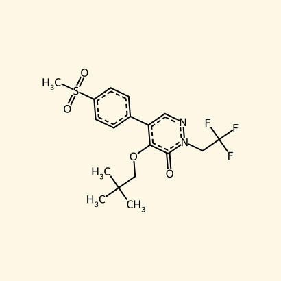 CC(C)(C)COc1c(-c2ccc(S(C)(=O)=O)cc2)cnn(CC(F)(F)F)c1=O